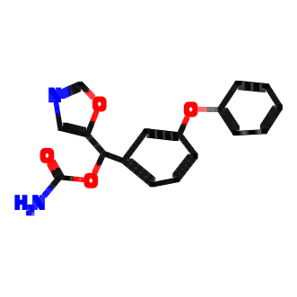 NC(=O)OC(c1cccc(Oc2ccccc2)c1)c1cnco1